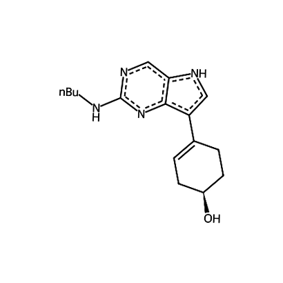 CCCCNc1ncc2[nH]cc(C3=CC[C@H](O)CC3)c2n1